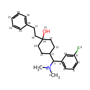 CN(C)C(c1cccc(F)c1)C1CCC(O)(CCc2ccccc2)CC1